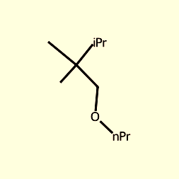 CCCOCC(C)(C)C(C)C